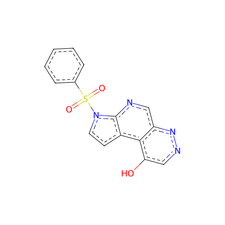 O=S(=O)(c1ccccc1)n1ccc2c3c(O)cnnc3cnc21